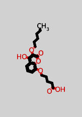 CCCCCCOc1c(O)c2cccc(OCCCCC(=O)O)c2oc1=O